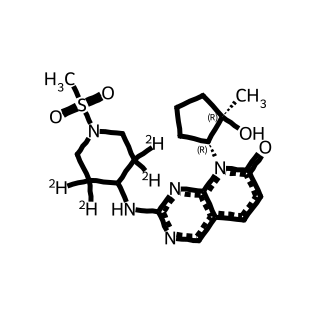 [2H]C1([2H])CN(S(C)(=O)=O)CC([2H])([2H])C1Nc1ncc2ccc(=O)n([C@@H]3CCC[C@@]3(C)O)c2n1